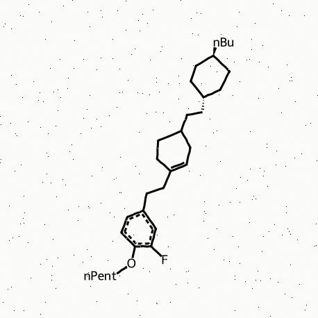 CCCCCOc1ccc(CCC2=CCC(CC[C@H]3CC[C@H](CCCC)CC3)CC2)cc1F